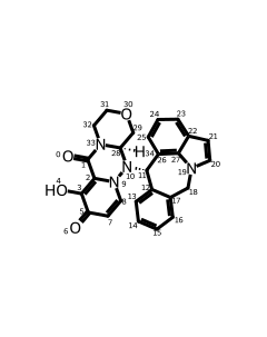 O=C1c2c(O)c(=O)ccn2N([C@H]2c3ccccc3Cn3ccc4cccc2c43)[C@@H]2COCCN12